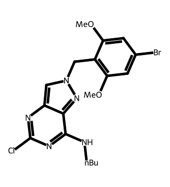 CCCCNc1nc(Cl)nc2cn(Cc3c(OC)cc(Br)cc3OC)nc12